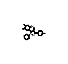 CC1=CCC(C2=NN(C3CCCCC3)C3C2C=NC2CC(C)C(C)CC23)CC1